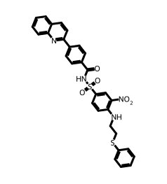 O=C(NS(=O)(=O)c1ccc(NCCSc2ccccc2)c([N+](=O)[O-])c1)c1ccc(-c2ccc3ccccc3n2)cc1